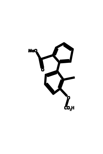 COC(=O)c1ccccc1-c1cccc(OC(=O)O)c1C